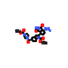 CC(C)(C)OC(=O)N1CCN(C(=O)c2ccc3c(c2)cc(-c2ccc(N)c4c2C(=O)NC4=O)n3C(=O)OC(C)(C)C)CC1